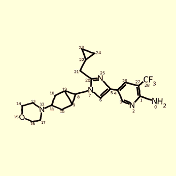 Nc1ncc(-c2cn(C3C4CC(N5CCOCC5)CC43)c(CC3CC3)n2)cc1C(F)(F)F